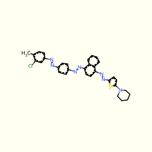 Cc1ccc(N=Nc2ccc(N=Nc3ccc(N=Nc4ccc(N5CCCCC5)s4)c4ccccc34)cc2)cc1Cl